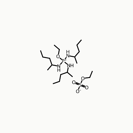 CCCC(C)N[P+](NC(C)CCC)(NC(C)CCC)OCC.CCOS(=O)(=O)[O-]